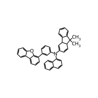 CC1(C)c2ccccc2C2C=C(N(c3cccc(-c4cccc5c4oc4ccccc45)c3)c3cccc4ccccc34)C=CC21